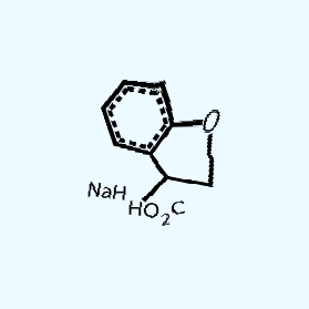 O=C(O)C1CCOc2ccccc21.[NaH]